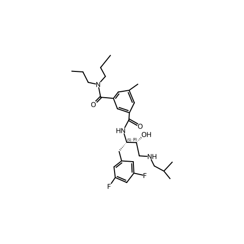 CCCN(CCC)C(=O)c1cc(C)cc(C(=O)N[C@@H](Cc2cc(F)cc(F)c2)[C@H](O)CNCC(C)C)c1